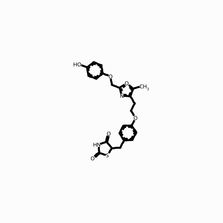 Cc1oc(COc2ccc(O)cc2)nc1CCOc1ccc(CC2SC(=O)NC2=O)cc1